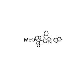 COC(=O)c1cocc1C(=O)c1ccc2nc(-c3ccc4ccccc4c3)ccc2c1Cc1ccccc1